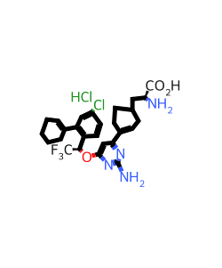 Cl.Nc1nc(O[C@H](c2ccc(Cl)cc2C2=CCCCC2)C(F)(F)F)cc(C2=CCC(C[C@H](N)C(=O)O)CC2)n1